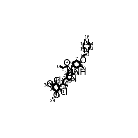 C=CC(=O)Nc1ccc(OCCN2CCN(C)CC2)c(C)c1Nc1ncc(/C=C(\F)c2c(Cl)c(OC)cc(OC)c2Cl)cn1